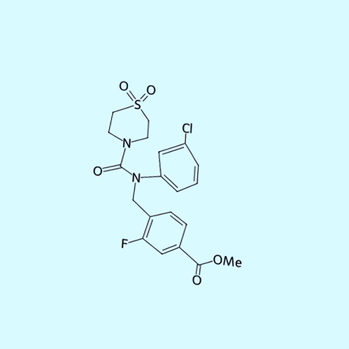 COC(=O)c1ccc(CN(C(=O)N2CCS(=O)(=O)CC2)c2cccc(Cl)c2)c(F)c1